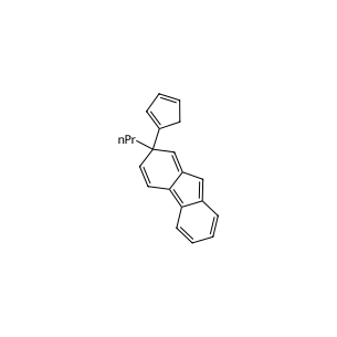 CCCC1(C2=CC=CC2)C=CC2=c3ccccc3=CC2=C1